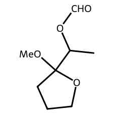 COC1(C(C)OC=O)CCCO1